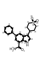 NC(=O)c1cc(-c2ccccc2)cc2c(C3CCS(=O)(=O)CC3)c[nH]c12